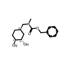 CN(C[C@@H]1CC[C@H](O)[C@@H](O)C1)C(=O)OCc1ccccc1